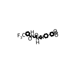 CS(=O)(=O)c1ccc([C@H]2CC[C@@H](N3CC(NC(=O)CNC(=O)c4cccc(C(F)(F)F)c4)C3)CC2)cc1